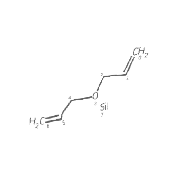 C=CCOCC=C.[Si]